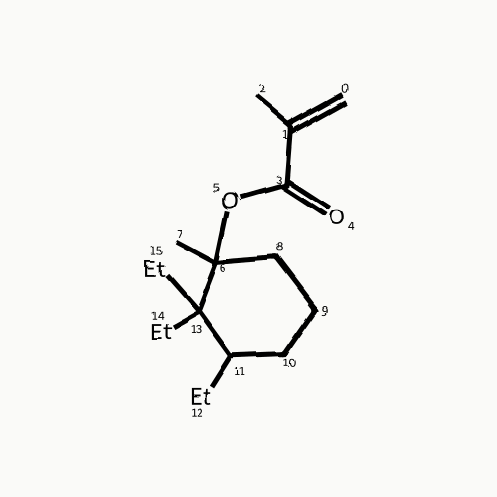 C=C(C)C(=O)OC1(C)CCCC(CC)C1(CC)CC